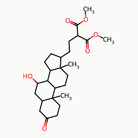 COC(=O)C(CCC1CCC2C3C(O)CC4CC(=O)CCC4(C)C3CCC12C)C(=O)OC